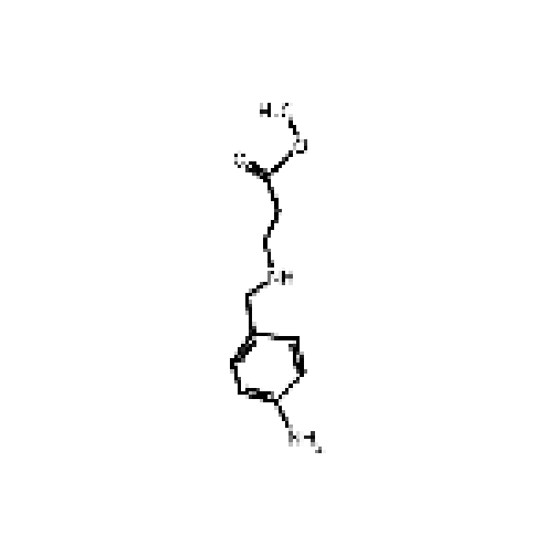 COC(=O)CCNCc1ccc(N)cc1